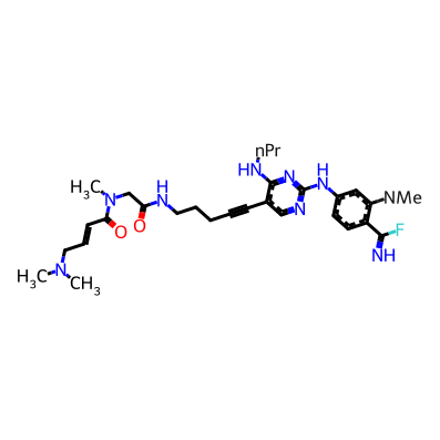 CCCNc1nc(Nc2ccc(C(=N)F)c(NC)c2)ncc1C#CCCCNC(=O)CN(C)C(=O)/C=C/CN(C)C